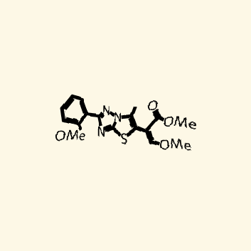 COC=C(C(=O)OC)c1sc2nc(-c3ccccc3OC)nn2c1C